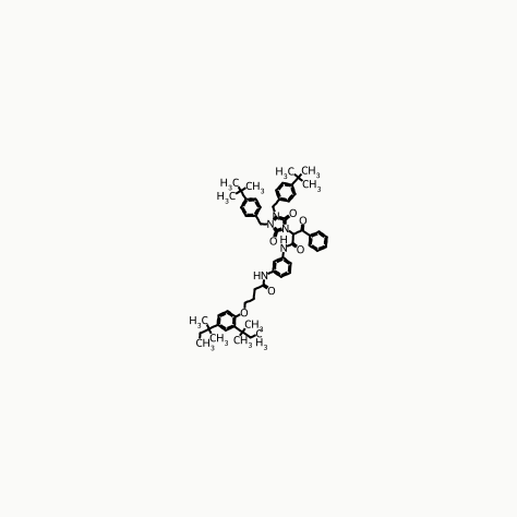 CCC(C)(C)c1ccc(OCCCC(=O)Nc2cccc(NC(=O)C(C(=O)c3ccccc3)n3c(=O)n(Cc4ccc(C(C)(C)C)cc4)n(Cc4ccc(C(C)(C)C)cc4)c3=O)c2)c(C(C)(C)CC)c1